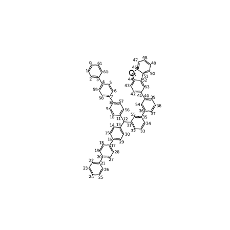 c1ccc(-c2ccc(-c3ccc(C(c4ccc(-c5ccc(-c6ccccc6)cc5)cc4)c4cccc(-c5cccc(-c6ccc7oc8ccccc8c7c6)c5)c4)cc3)cc2)cc1